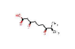 C=C(C)C(=O)CCCC(=O)CC(=O)O